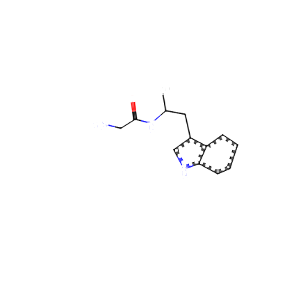 CC(Cc1c[nH]c2ccccc12)NC(=O)CN